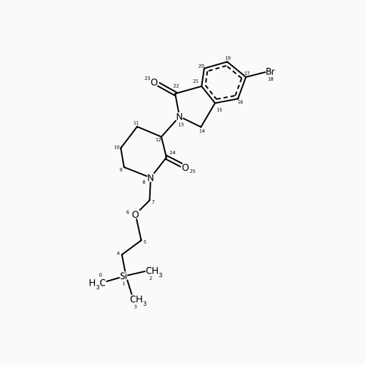 C[Si](C)(C)CCOCN1CCCC(N2Cc3cc(Br)ccc3C2=O)C1=O